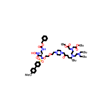 COc1ccc(-c2ccc(S(=O)(=O)N(OCCOCCN3CCN(CC(=O)CC[C@H](N(CCN(CC(=O)OC(C)(C)C)CC(=O)OC(C)(C)C)CCN(CC(C)(C)C)CC(C)(C)C)C(C)(C)C)CC3)[C@H](CCNC(=O)OCc3ccccc3)C(=O)NO)cc2)cc1